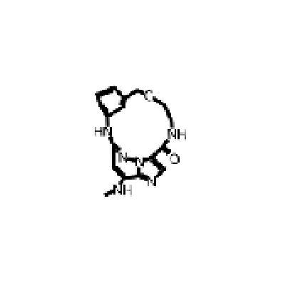 CNc1cc2nn3c(cnc13)C(=O)NCCCCc1cccc(c1)N2